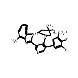 Cc1cccc2[nH]c(-c3cncc(-c4cc(F)c(F)c(C(=O)O)c4)c3N3CCC(C)(N)C3)nc12